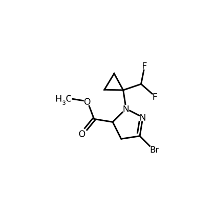 COC(=O)C1CC(Br)=NN1C1(C(F)F)CC1